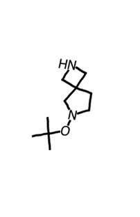 CC(C)(C)ON1CCC2(CNC2)C1